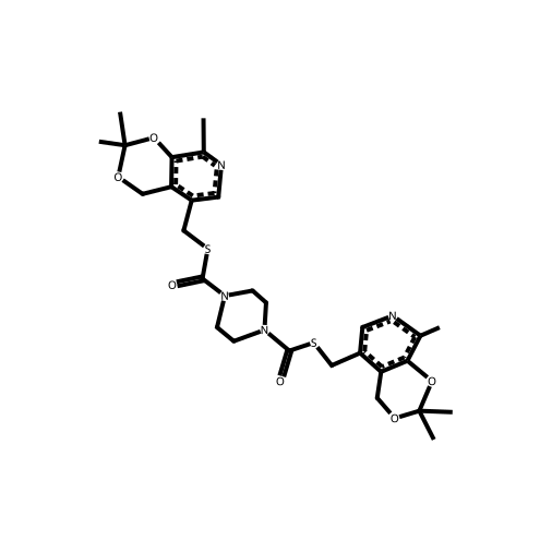 Cc1ncc(CSC(=O)N2CCN(C(=O)SCc3cnc(C)c4c3COC(C)(C)O4)CC2)c2c1OC(C)(C)OC2